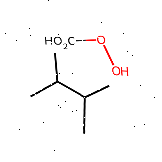 CC(C)C(C)C.O=C(O)OO